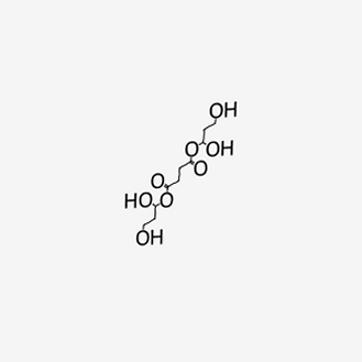 O=C(CCC(=O)OC(O)CCO)OC(O)CCO